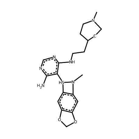 CN1CCC(CCNc2ncnc(N)c2[SH]2c3cc4c(cc3N2C)OCO4)CC1